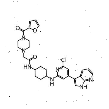 O=C(CN1CCN(C(=O)c2ccco2)CC1)NC1CCC(Nc2cc(-c3c[nH]c4ncccc34)cc(Cl)n2)CC1